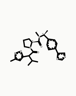 Cc1cc(C(C(=O)N2CCC[C@H]2C(=O)N(C)[C@@H](C)c2ccc(-c3cnco3)cc2)C(C)C)on1